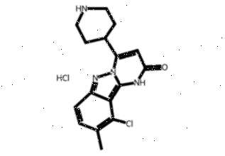 Cc1ccc2nn3c(C4CCNCC4)cc(=O)[nH]c3c2c1Cl.Cl